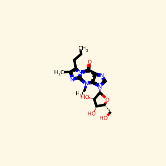 CCCc1c(C)nc2n(C)c3c(ncn3[C@@H]3O[C@H](CO)[C@H](O)[C@@H]3O)c(=O)n12